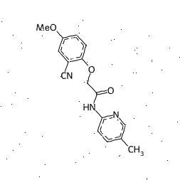 COc1ccc(OCC(=O)Nc2ccc(C)cn2)c(C#N)c1